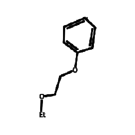 CCOCCOc1cc[c]cc1